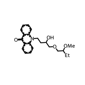 CCC(COCC(O)CCn1c2ccccc2c(=O)c2ccccc21)OC